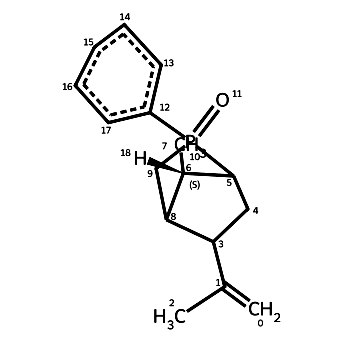 C=C(C)C1CC2[C@@H](C)C1CP2(=O)c1ccccc1